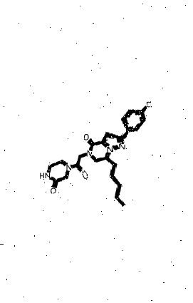 CCCCCC1CN(CC(=O)N2CCNC(=O)C2)C(=O)c2cc(-c3ccc(Cl)cc3)nn21